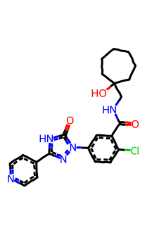 O=C(NCC1(O)CCCCCC1)c1cc(-n2nc(-c3ccncc3)[nH]c2=O)ccc1Cl